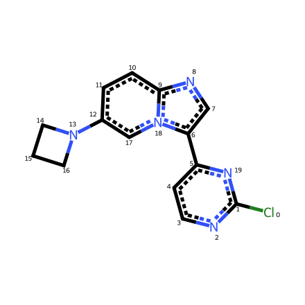 Clc1nccc(-c2cnc3ccc(N4CCC4)cn23)n1